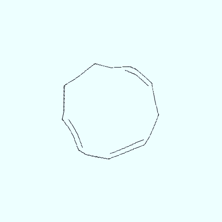 C1=CCC=CCCC=C1